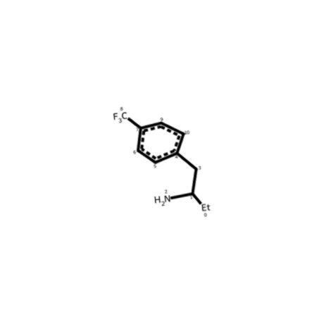 CCC(N)Cc1ccc(C(F)(F)F)cc1